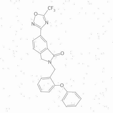 O=C1c2cc(-c3noc(C(F)(F)F)n3)ccc2CN1Cc1ccccc1Oc1ccccc1